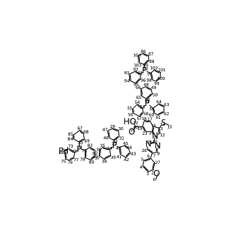 COc1cccc(-c2cnc(-n3cc(SC)c4ccc(C(=O)O)cc43)nc2)c1.[Pd].c1ccc(P(c2ccccc2)c2ccccc2)cc1.c1ccc(P(c2ccccc2)c2ccccc2)cc1.c1ccc(P(c2ccccc2)c2ccccc2)cc1.c1ccc(P(c2ccccc2)c2ccccc2)cc1